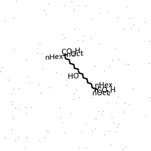 CCCCCCCCC(CCCCCC)(CCCCCCC(O)CCCCCCC(CCCCCC)(CCCCCCCC)C(=O)O)C(=O)O